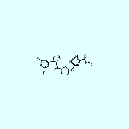 NC(=O)c1cc(OC2CCN(C(=O)N3N=CCC3c3cc(F)cc(F)c3)C2)ncn1